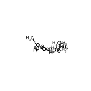 CCCCCc1ccc(-c2cc3ccc(OCC(F)(F)C(F)(F)C(F)(F)COC(=O)C(C)(C)C(N)CC(C)(C)N)cc3o2)c(OC(F)(F)F)c1